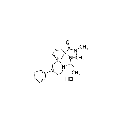 CCC(NC1(C(=O)N(C)C)C=CC=NC1)N1CCN(c2ccccc2)CC1.Cl